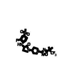 CC(C)(c1nc(N2CCC(N3CCC(Nc4ccc(S(C)(=O)=O)cc4F)C3=O)CC2)no1)C(F)(F)F